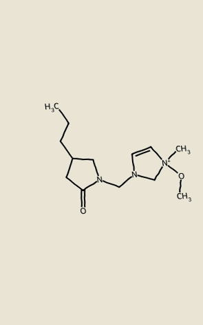 CCCC1CC(=O)N(CN2C=C[N+](C)(OC)C2)C1